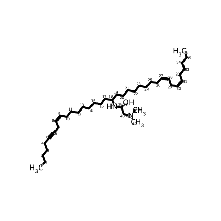 CCCCCC#CC/C=C\CCCCCCCCC(CCCCCCCC/C=C\C/C=C\CCCCC)NC(O)CN(C)C